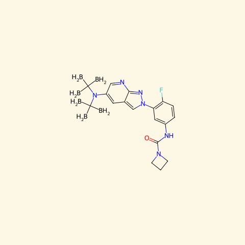 BC(B)(B)N(c1cnc2nn(-c3cc(NC(=O)N4CCC4)ccc3F)cc2c1)C(B)(B)B